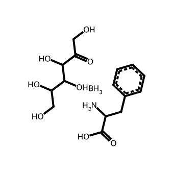 B.NC(Cc1ccccc1)C(=O)O.O=C(CO)C(O)C(O)C(O)CO